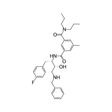 CCCN(CCC)C(=O)c1cc(C)cc(C(=O)N[C@@H](Cc2ccc(F)cc2)[C@H](O)CNCc2ccccc2)c1